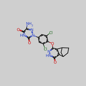 Nc1nn(-c2cc(Cl)c(Oc3n[nH]c(=O)c4c3C3CCC4C3)c(Cl)c2)c(=O)[nH]c1=O